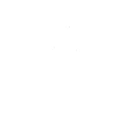 COC(=O)OC1C=CCCC1